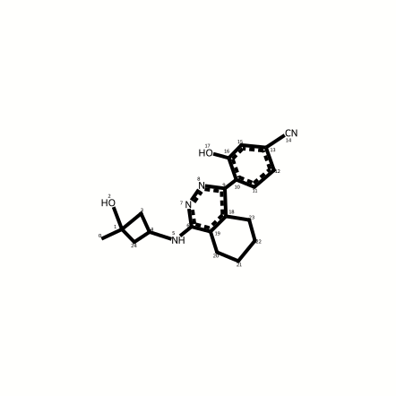 CC1(O)CC(Nc2nnc(-c3ccc(C#N)cc3O)c3c2CCCC3)C1